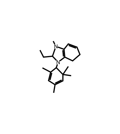 CCC1N(C)C2=C(CCC=C2)N1C1C(C)=CC(C)=CC1(C)C